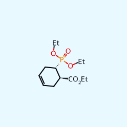 CCOC(=O)[C@H]1CC=CC[C@@H]1P(=O)(OCC)OCC